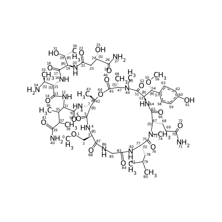 COC[C@H]1NC(=O)[C@H](NC(=O)C(NC(=O)[C@@H](NC(=O)[C@H](NC(=O)C[C@H](O)C(N)=O)[C@@H](C)O)[C@H](C)N)C(C)C(C)C(N)=O)[C@@H](C)OC(=O)[C@H](C)N(C)C(=O)[C@@H]([C@H](OC)c2ccc(O)cc2)NC(=O)[C@H](CCC(N)=O)N(C)C(=O)[C@H](CC(C)C)NC(=O)CNC1=O